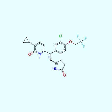 O=C1CC[C@H](/C=C(\c2ccc(OCC(F)(F)F)c(Cl)c2)c2ccc(C3CC3)c(=O)[nH]2)N1